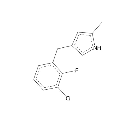 Cc1cc(Cc2cccc(Cl)c2F)c[nH]1